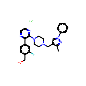 Cc1nn(-c2ccccc2)cc1CN1CCN(c2nccnc2-c2ccc(CO)c(F)c2)CC1.Cl